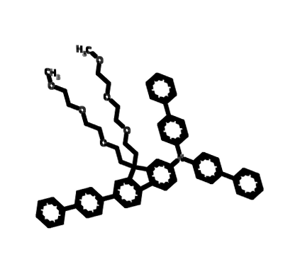 COCCOCCOCCC1(CCOCCOCCOC)c2cc(-c3ccc(-c4ccccc4)cc3)ccc2-c2ccc(N(c3ccc(-c4ccccc4)cc3)c3ccc(-c4ccccc4)cc3)cc21